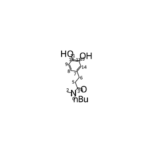 CCCCN(C)C(=O)CCc1ccc(O)c(O)c1